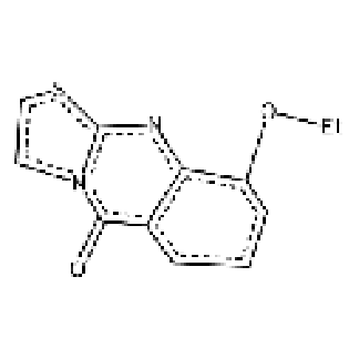 CCOc1cccc2c(=O)n3ccsc3nc12